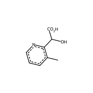 Cc1cccnc1C(O)C(=O)O